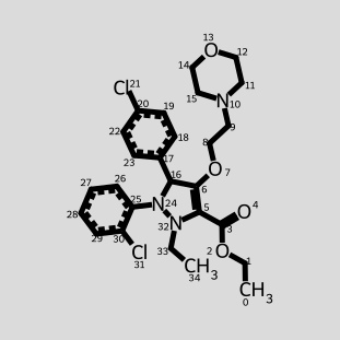 CCOC(=O)C1=C(OCCN2CCOCC2)C(c2ccc(Cl)cc2)N(c2ccccc2Cl)N1CC